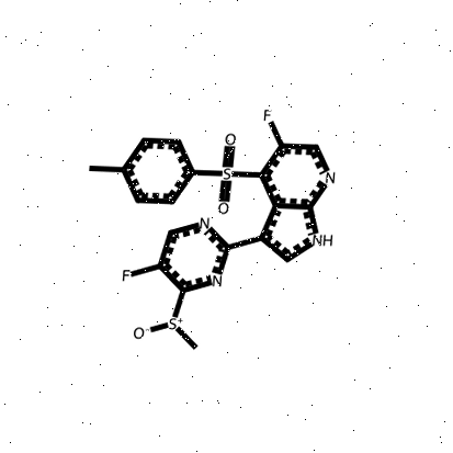 Cc1ccc(S(=O)(=O)c2c(F)cnc3[nH]cc(-c4ncc(F)c([S+](C)[O-])n4)c23)cc1